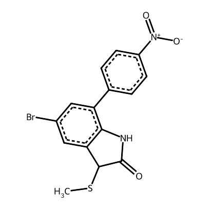 CSC1C(=O)Nc2c(-c3ccc([N+](=O)[O-])cc3)cc(Br)cc21